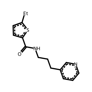 CCc1ccc(C(=O)NCCCc2cccnc2)s1